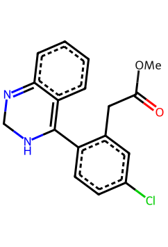 COC(=O)Cc1cc(Cl)ccc1C1=c2ccccc2=NCN1